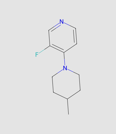 CC1CCN(c2ccncc2F)CC1